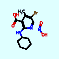 Cc1c(Br)cnc(NC2CCCCC2)c1C(=O)O.O=NO